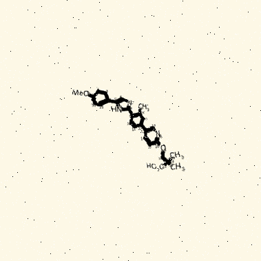 COc1ccc(-c2cnc(-c3ccc(-c4ccc(OCC(C)(C)C(=O)O)nc4)cc3C)[nH]2)cc1